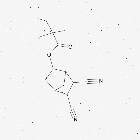 CCC(C)(C)C(=O)OC1CC2CC1C(C#N)C2C#N